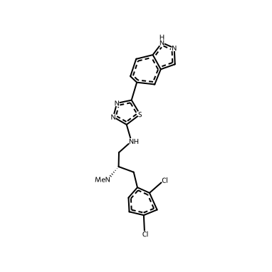 CN[C@H](CNc1nnc(-c2ccc3[nH]ncc3c2)s1)Cc1ccc(Cl)cc1Cl